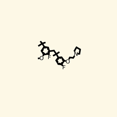 COc1cc(C(C)(C)C)cc(CC(C)(C)c2ccc(F)c(OCCN3CCCC3)c2)c1F